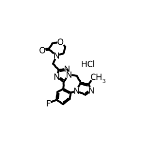 Cc1ncn2c1Cn1nc(CN3CCOCC3=O)nc1-c1cc(F)ccc1-2.Cl